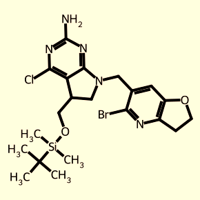 CC(C)(C)[Si](C)(C)OCC1CN(Cc2cc3c(nc2Br)CCO3)c2nc(N)nc(Cl)c21